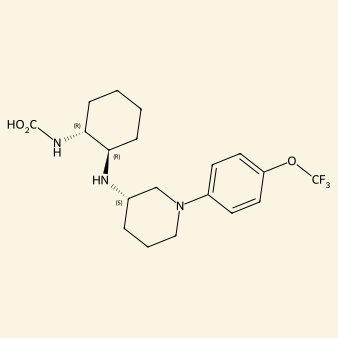 O=C(O)N[C@@H]1CCCC[C@H]1N[C@H]1CCCN(c2ccc(OC(F)(F)F)cc2)C1